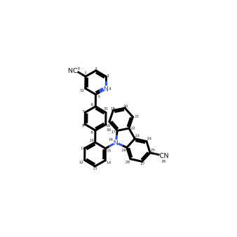 N#Cc1ccnc(-c2ccc(-c3ccccc3-n3c4ccccc4c4cc(C#N)ccc43)cc2)c1